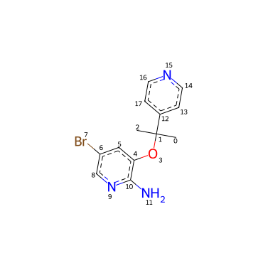 CC(C)(Oc1cc(Br)cnc1N)c1ccncc1